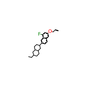 C=CCOc1cc(F)c2cc(C3CCC4CC(CC)CCC4C3)ccc2c1